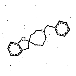 c1ccc(CN2CCCC3(CC2)Cc2ccccc2O3)cc1